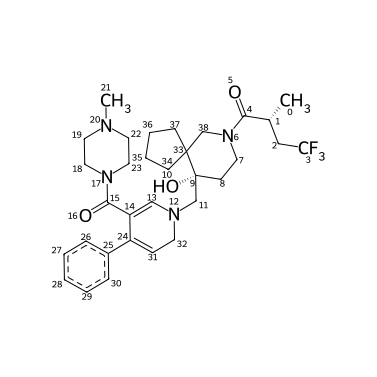 C[C@H](CC(F)(F)F)C(=O)N1CC[C@@](O)(CN2C=C(C(=O)N3CCN(C)CC3)C(c3ccccc3)=CC2)C2(CCCC2)C1